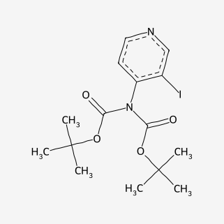 CC(C)(C)OC(=O)N(C(=O)OC(C)(C)C)c1ccncc1I